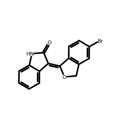 O=C1Nc2ccccc2C1=C1OCc2cc(Br)ccc21